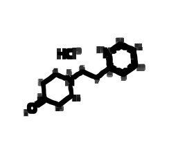 Cl.O=C1CCN(CCc2ccccn2)CC1